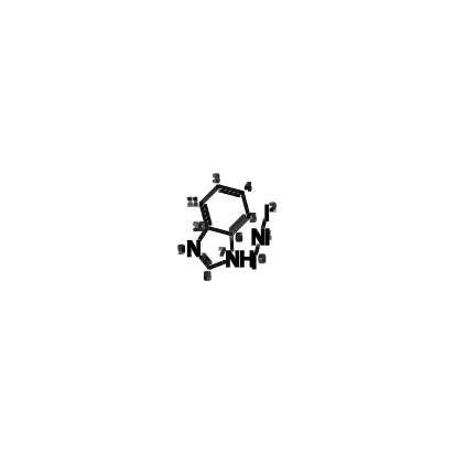 [I][Ni][I].c1ccc2[nH]cnc2c1